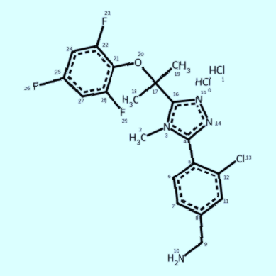 Cl.Cl.Cn1c(-c2ccc(CN)cc2Cl)nnc1C(C)(C)Oc1c(F)cc(F)cc1F